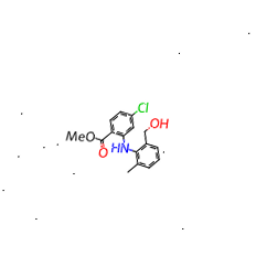 COC(=O)c1ccc(Cl)cc1Nc1c(C)cccc1CO